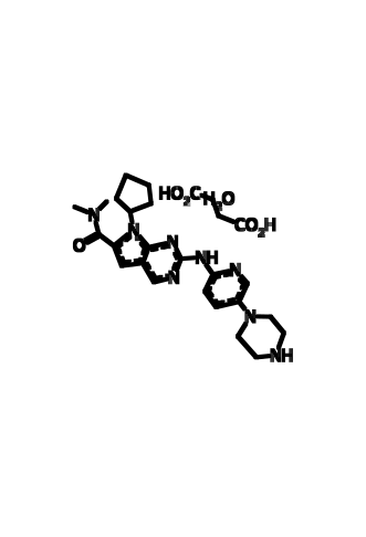 CN(C)C(=O)c1cc2cnc(Nc3ccc(N4CCNCC4)cn3)nc2n1C1CCCC1.O.O=C(O)CCC(=O)O